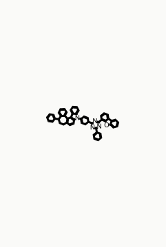 C1=CC(c2nc(-c3ccccc3)nc(-c3cccc4c3oc3ccccc34)n2)CC=C1n1c2ccccc2c2c3c(ccc21)CCC(c1ccccc1)c1ccccc1-3